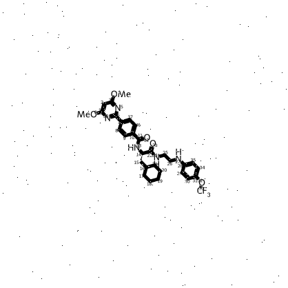 COc1cc(OC)nc(-c2ccc(C(=O)N[C@@H](CC3CCCCC3)C(=O)NCCNc3ccc(OC(F)(F)F)cc3)cc2)n1